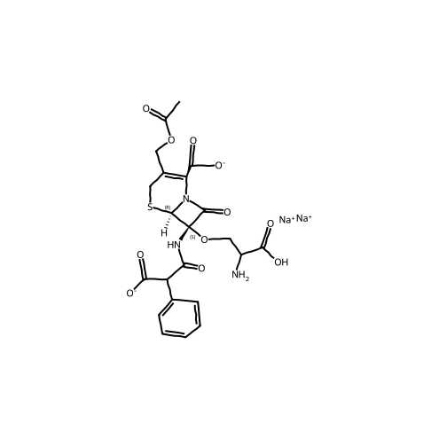 CC(=O)OCC1=C(C(=O)[O-])N2C(=O)[C@](NC(=O)C(C(=O)[O-])c3ccccc3)(OCC(N)C(=O)O)[C@H]2SC1.[Na+].[Na+]